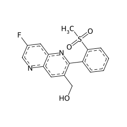 CS(=O)(=O)c1ccccc1-c1nc2cc(F)cnc2cc1CO